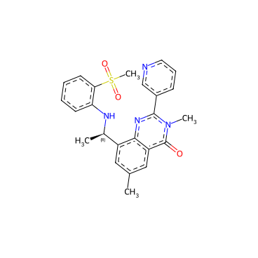 Cc1cc([C@@H](C)Nc2ccccc2S(C)(=O)=O)c2nc(-c3cccnc3)n(C)c(=O)c2c1